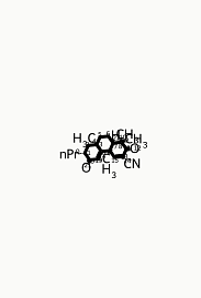 CCC[C@@H]1C[C@]2(C)CC[C@H]3C(C)(C)C(=O)C(C#N)=C[C@]3(C)C2=CC1=O